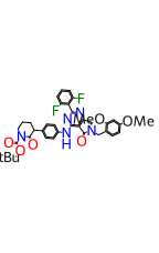 COc1ccc(CN2Cc3nc(-c4c(F)cccc4F)nc(Nc4ccc(C5CCCN(C(=O)OC(C)(C)C)C5=O)cc4)c3C2=O)c(OC)c1